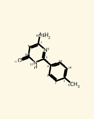 Cc1ccc(-c2nc([AsH2])cc(=O)[nH]2)cc1